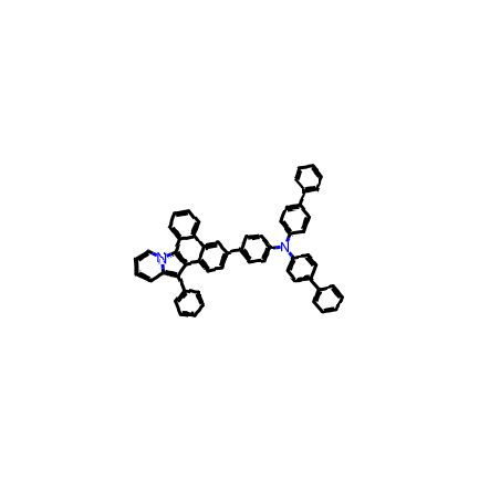 c1ccc(-c2ccc(N(c3ccc(-c4ccccc4)cc3)c3ccc(-c4ccc5c(c4)c4ccccc4c4c5c(-c5ccccc5)c5ccccn54)cc3)cc2)cc1